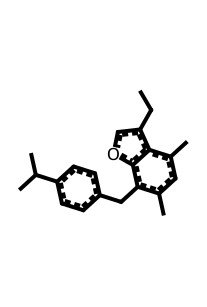 CCc1coc2c(Cc3ccc(C(C)C)cc3)c(C)cc(C)c12